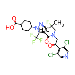 CC(C)(F)CN(CC(=O)c1c(Cl)cncc1Cl)C(=O)c1cnn(C2CCC(C(=O)O)CC2)c1C(F)(F)F